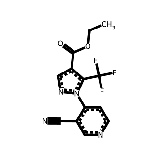 CCOC(=O)c1cnn(-c2ccncc2C#N)c1C(F)(F)F